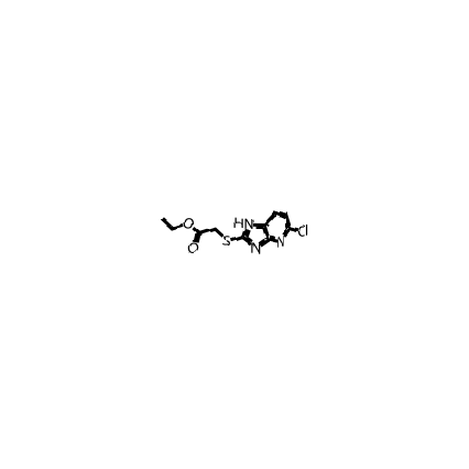 CCOC(=O)CSc1nc2nc(Cl)ccc2[nH]1